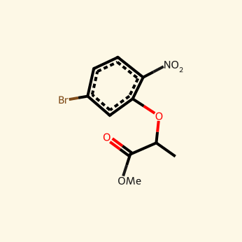 COC(=O)C(C)Oc1cc(Br)ccc1[N+](=O)[O-]